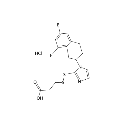 Cl.O=C(O)CCSSc1nccn1C1CCc2cc(F)cc(F)c2C1